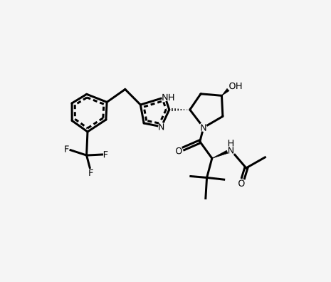 CC(=O)N[C@H](C(=O)N1C[C@H](O)C[C@H]1c1ncc(Cc2cccc(C(F)(F)F)c2)[nH]1)C(C)(C)C